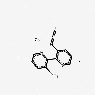 Nc1cccnc1-c1ncccc1N=C=S.[Co]